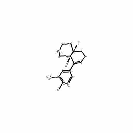 Cc1cc(C2=CCC[C@H]3CCNC[C@@H]23)cnc1Cl